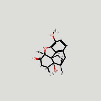 COc1ccc2c3c1O[C@H]1C(=O)CC(C)[C@@]4(O)[C@H](CCC[C@]314)C2